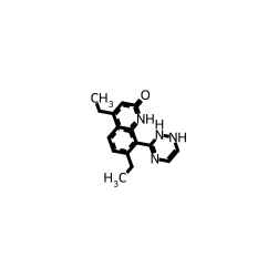 CCc1ccc2c(CC)cc(=O)[nH]c2c1C1=NC=CNN1